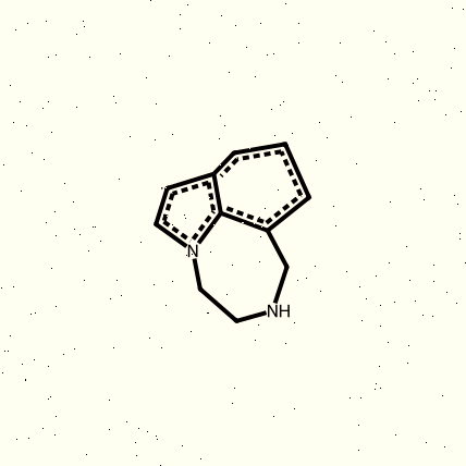 [c]1cn2c3c(cccc13)CNCC2